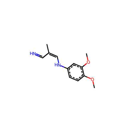 COc1ccc(N/C=C(/C)C=N)cc1OC